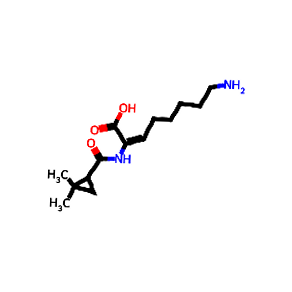 CC1(C)CC1C(=O)NC(=CCCCCCN)C(=O)O